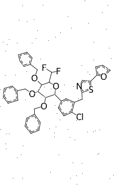 FC(F)C1OC(c2ccc(Cl)c(Cc3ncc(-c4ccco4)s3)c2)C(OCc2ccccc2)C(OCc2ccccc2)C1OCc1ccccc1